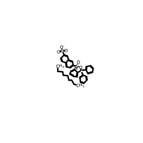 CCCCCCCCC.O=S(=O)([O-])c1ccc2ccc(S(=O)(=O)O[P+](c3ccccc3)(c3ccccc3)c3ccccc3)cc2c1